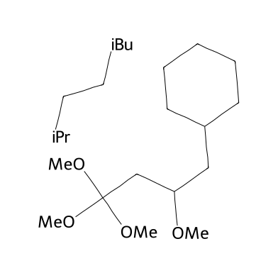 CCC(C)CCC(C)C.COC(CC1CCCCC1)CC(OC)(OC)OC